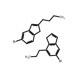 CCCCC1=Cc2cc(Br)ccc2C1.CCCc1cc(Br)cc2c1CC=C2